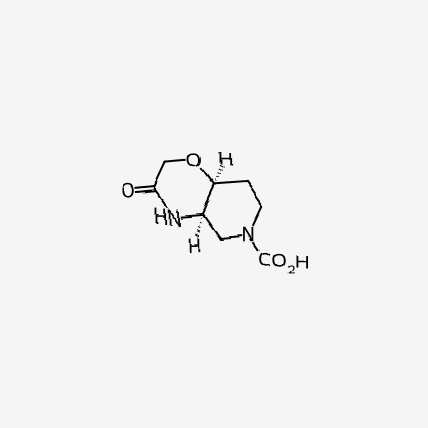 O=C1CO[C@H]2CCN(C(=O)O)C[C@H]2N1